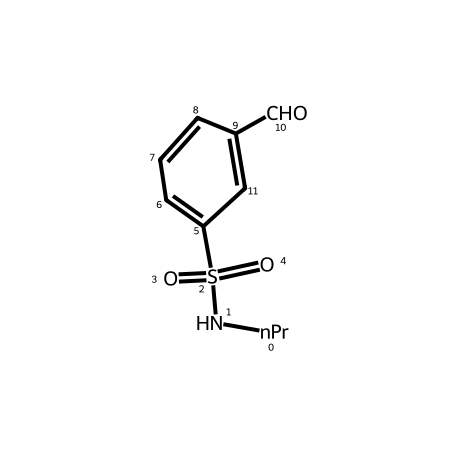 CCCNS(=O)(=O)c1cccc(C=O)c1